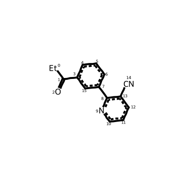 CCC(=O)c1cccc(-c2ncccc2C#N)c1